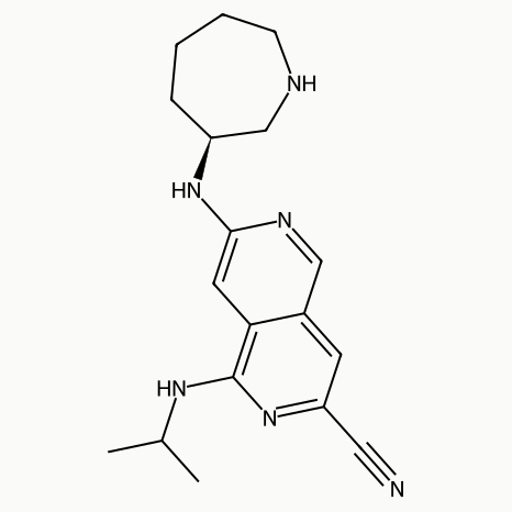 CC(C)Nc1nc(C#N)cc2cnc(N[C@H]3CCCCNC3)cc12